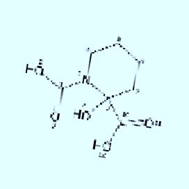 O=C(O)N1CCCCC1(O)C(=O)O